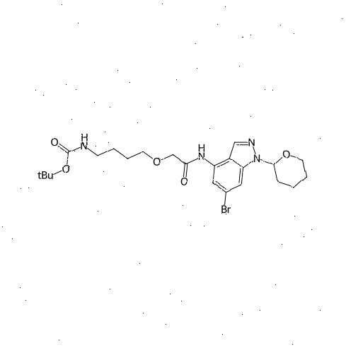 CC(C)(C)OC(=O)NCCCCOCC(=O)Nc1cc(Br)cc2c1cnn2C1CCCCO1